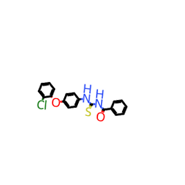 O=C(NC(=S)Nc1ccc(Oc2ccccc2Cl)cc1)c1ccccc1